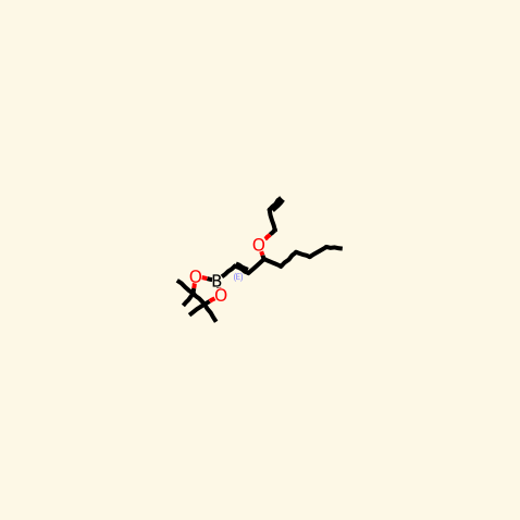 C=CCOC(/C=C/B1OC(C)(C)C(C)(C)O1)CCCCC